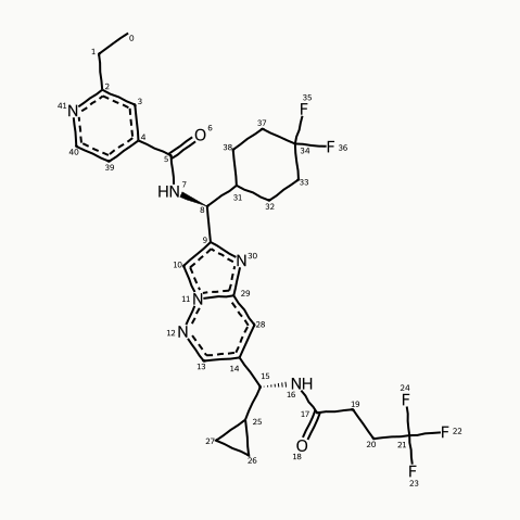 CCc1cc(C(=O)N[C@H](c2cn3ncc([C@H](NC(=O)CCC(F)(F)F)C4CC4)cc3n2)C2CCC(F)(F)CC2)ccn1